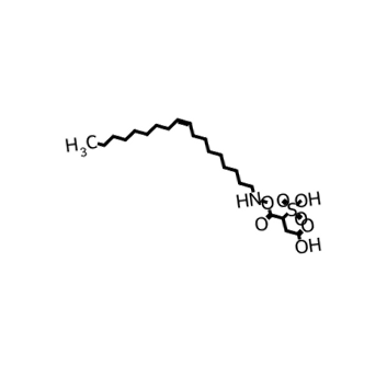 CCCCCCCC/C=C\CCCCCCCCNOC(=O)C(CC(=O)O)S(=O)(=O)O